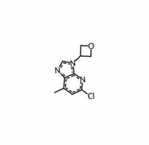 Cc1cc(Cl)nc2c1ncn2C1COC1